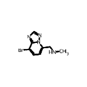 CNCc1ccc(Br)c2ncnn12